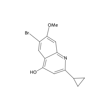 COc1cc2nc(C3CC3)cc(O)c2cc1Br